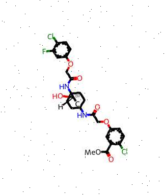 COC(=O)c1cc(OCC(=O)NC23CCC(NC(=O)COc4ccc(Cl)c(F)c4)(CC2)[C@@H](O)C3)ccc1Cl